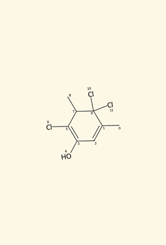 CC1=CC(O)=C(Cl)C(C)C1(Cl)Cl